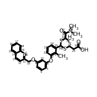 Cc1c(Oc2cccc(OCc3ccc4ccccc4n3)c2)cccc1C(SCCC(=O)O)SC(C)C(=O)N(C)C